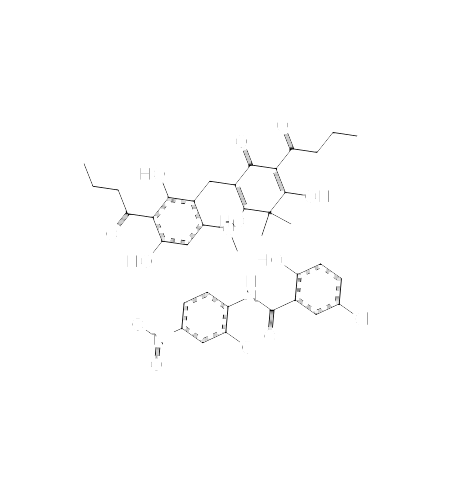 CCCC(=O)C1=C(O)C(C)(C)C(O)=C(Cc2c(OC)cc(O)c(C(=O)CCC)c2O)C1=O.O=C(Nc1ccc([N+](=O)[O-])cc1Cl)c1cc(Cl)ccc1O